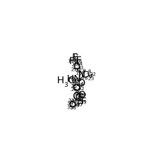 C[C@H](NC(=O)C1CC2(CCN1Cc1ccc(C(F)(F)F)cc1)CC2)c1ccc(C(=O)OC(c2ccccc2)C(F)(F)F)cc1